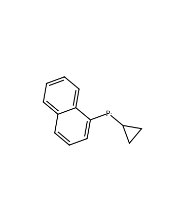 c1ccc2c([P]C3CC3)cccc2c1